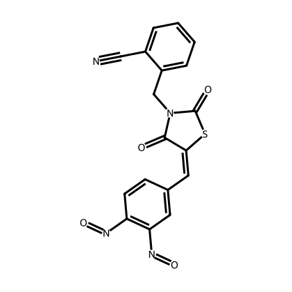 N#Cc1ccccc1CN1C(=O)S/C(=C/c2ccc(N=O)c(N=O)c2)C1=O